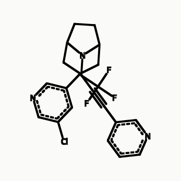 FC(F)(F)CN1C2CCC1CC(C#Cc1cccnc1)(c1cncc(Cl)c1)C2